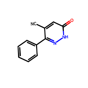 N#Cc1cc(=O)[nH]nc1-c1ccccc1